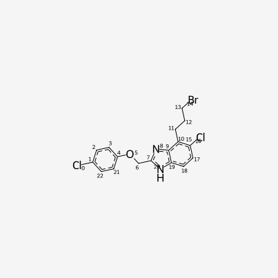 Clc1ccc(OCc2nc3c(CCCBr)c(Cl)ccc3[nH]2)cc1